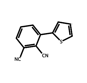 N#Cc1cccc(-c2c[c]cs2)c1C#N